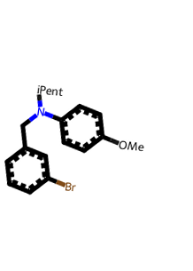 CCCC(C)N(Cc1cccc(Br)c1)c1ccc(OC)cc1